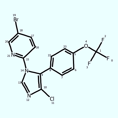 FC(F)(F)Oc1ccc(-c2c(Cl)ncn2-c2ccc(Br)cn2)cc1